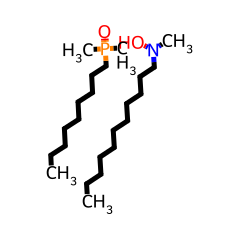 CCCCCCCCCCCN(C)O.CCCCCCCCCP(C)(C)=O